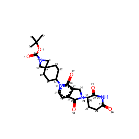 CC(C)(C)OC(=O)N1CC2(CCC(n3ccc4c(c3=O)CN([C@@H]3CCC(=O)NC3=O)C4=O)CC2)C1